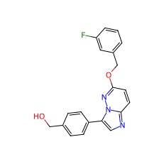 OCc1ccc(-c2cnc3ccc(OCc4cccc(F)c4)nn23)cc1